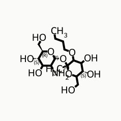 CCCCOC1C(O)[C@H](O)C(CO)O[C@]1(C)O[C@H]1O[C@H](CO)[C@@H](O)C(O)C1N